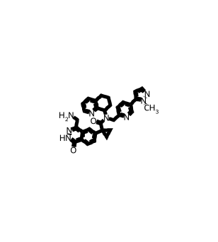 Cn1nccc1-c1ccc(CN(C(=O)C2(c3ccc4c(=O)[nH]nc(CN)c4c3)CC2)C2CCCc3cccnc32)nc1